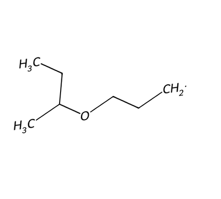 [CH2]CCOC(C)CC